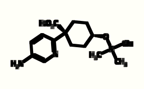 CCOC(=O)[C@]1(c2ccc(N)cn2)CC[C@H](O[Si](C)(C)C(C)(C)C)CC1